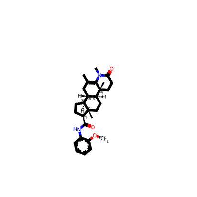 CC1=C2N(C)C(=O)CC[C@]2(C)[C@H]2CC[C@]3(C)[C@@H](C(=O)Nc4ccccc4OC(F)(F)F)CC[C@H]3[C@@H]2C1